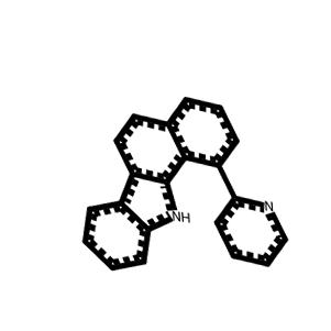 c1ccc(-c2cccc3ccc4c5ccccc5[nH]c4c23)nc1